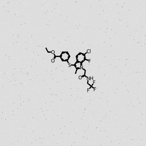 CCOC(=O)c1cccc(Sc2c(C)n(CC(=O)NCC(F)(F)F)c3c(F)c(Cl)ccc23)c1